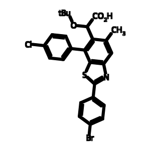 Cc1cc2nc(-c3ccc(Br)cc3)sc2c(-c2ccc(Cl)cc2)c1C(OC(C)(C)C)C(=O)O